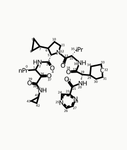 CCCC(NC(=O)[C@@H]1C(C2CC2)CCN1C(=O)[C@@H](NC(=O)[C@@H](NC(=O)c1cnccn1)C1CCCCC1)C(C)C)C(=O)C(=O)NC1CC1